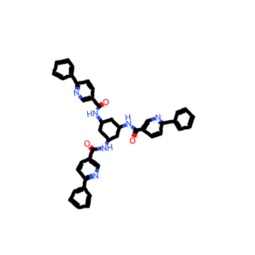 O=C(NC1CC(NC(=O)c2ccc(-c3ccccc3)nc2)CC(NC(=O)c2ccc(-c3ccccc3)nc2)C1)c1ccc(-c2ccccc2)nc1